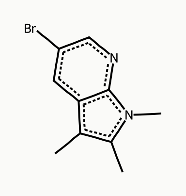 Cc1c(C)n(C)c2ncc(Br)cc12